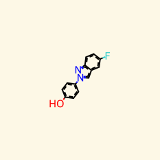 Oc1ccc(-n2cc3cc(F)ccc3n2)cc1